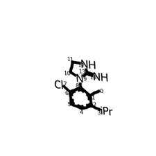 Cc1c(C(C)C)ccc(Cl)c1N1CCNC1=N